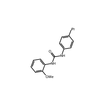 COc1ccccc1NC(=O)Nc1ccc(C(C)C)cc1